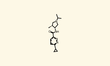 CC(C)N1C[C@H](C)[C@H](NC(=O)c2ccc(C3CC3)nn2)C1